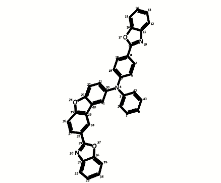 c1ccc(N(c2ccc(-c3nc4ccccc4o3)cc2)c2ccc3oc4ccc(-c5nc6ccccc6o5)cc4c3c2)cc1